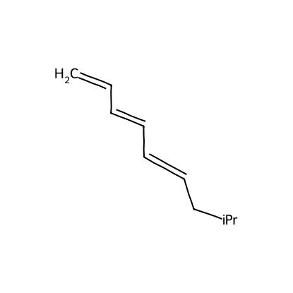 C=CC=CC=CCC(C)C